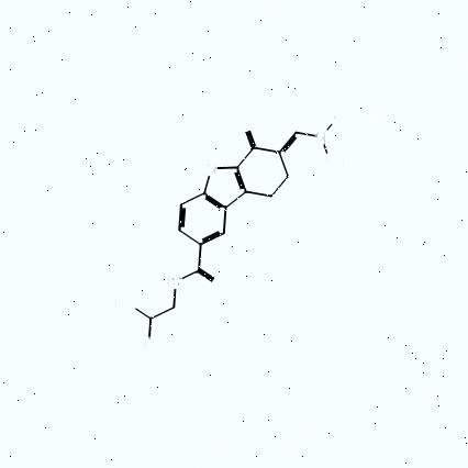 CC(C)CNC(=O)c1ccc2[nH]c3c(c2c1)CCC(=CN(C)C)C3=O